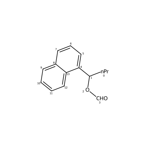 CCCC(OC=O)c1cccc2ccccc12